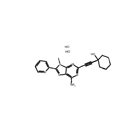 Cl.Cl.Cn1c(-c2ccccn2)nc2c(N)nc(C#CC3(O)CCCCC3)nc21